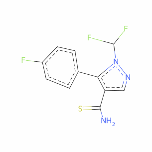 NC(=S)c1cnn(C(F)F)c1-c1ccc(F)cc1